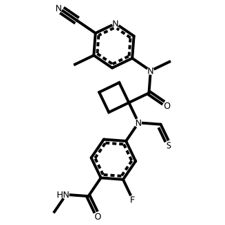 CNC(=O)c1ccc(N(C=S)C2(C(=O)N(C)c3cnc(C#N)c(C)c3)CCC2)cc1F